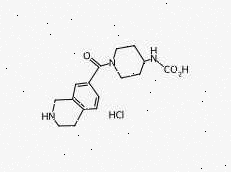 Cl.O=C(O)NC1CCN(C(=O)c2ccc3c(c2)CNCC3)CC1